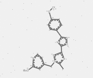 Cc1nc(-c2nc(-c3ccc(OC(F)(F)F)cc3)no2)nn1Cc1ccnc(OCC(C)C)c1